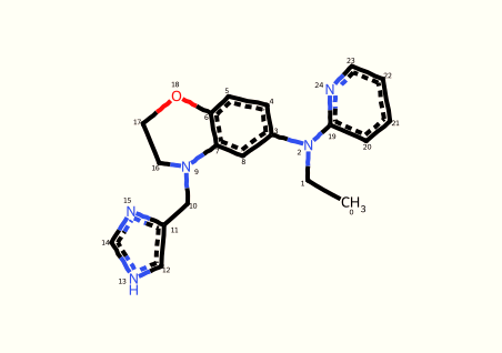 CCN(c1ccc2c(c1)N(Cc1c[nH]cn1)CCO2)c1ccccn1